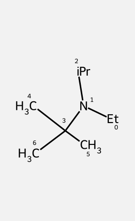 CCN(C(C)C)C(C)(C)C